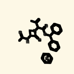 C=C(C)C(C(=O)OC(c1ccccc1)c1ccccc1)N1CC(NC(C)=O)C1=O.c1cc2cc(c1)O2